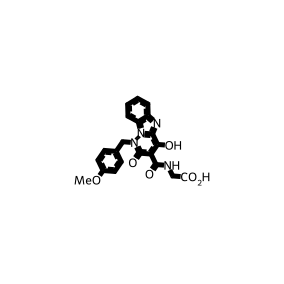 COc1ccc(Cn2c(=O)c(C(=O)NCC(=O)O)c(O)c3nc4ccccc4n32)cc1